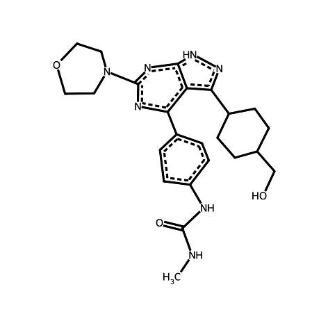 CNC(=O)Nc1ccc(-c2nc(N3CCOCC3)nc3[nH]nc(C4CCC(CO)CC4)c23)cc1